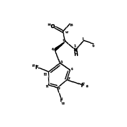 CCN[C@@H](Cc1cc(F)c(F)cc1F)C(C)=O